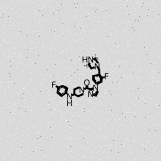 C[C@@H]1CN(Cc2ccc(-n3ccnc3C(=O)N3CCC(Nc4ccc(F)cc4)CC3)cc2F)C[C@H](C)N1